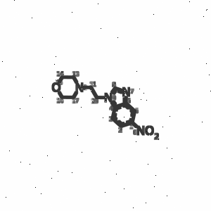 O=[N+]([O-])c1ccc2c(c1)ncn2CCN1CCOCC1